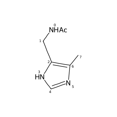 CC(=O)NCc1[nH]cnc1C